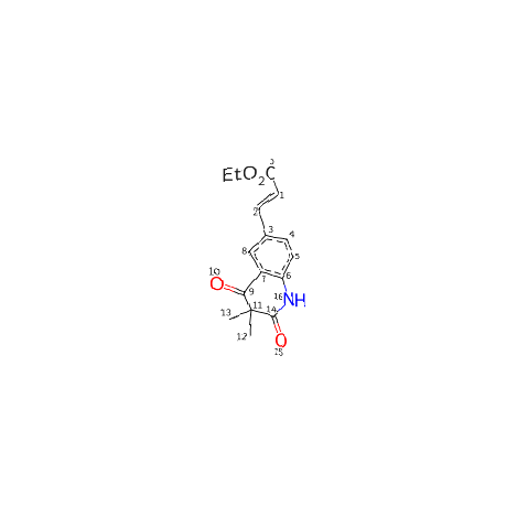 CCOC(=O)/C=C/c1ccc2c(c1)C(=O)C(C)(C)C(=O)N2